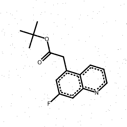 CC(C)(C)OC(=O)Cc1cc(F)cc2ncccc12